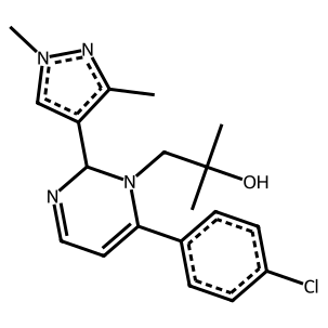 Cc1nn(C)cc1C1N=CC=C(c2ccc(Cl)cc2)N1CC(C)(C)O